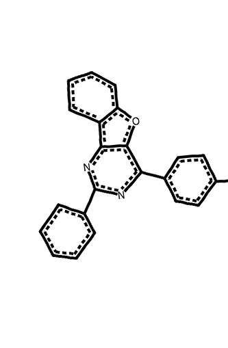 Clc1ccc(-c2nc(-c3ccccc3)nc3c2oc2ccccc23)cc1